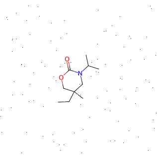 CCC1(C)COC(=O)N(C(C)C)C1